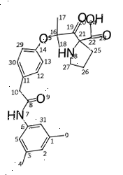 Cc1cc(C)cc(NC(=O)Cc2ccc(OC(C)(C)C(=O)C3(C(=O)O)CCCN3)cc2)c1